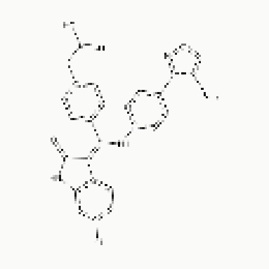 Cn1ccnc1-c1ccc(NC(=C2C(=O)Nc3cc(Cl)ccc32)c2ccc(CC(=O)O)cc2)cc1